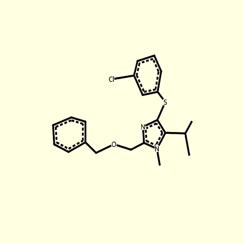 CC(C)c1c(Sc2cccc(Cl)c2)nc(COCc2ccccc2)n1C